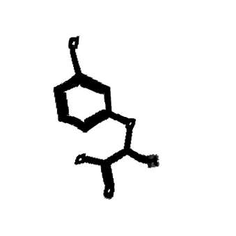 CCC(Oc1cccc(Cl)c1)C(=O)Cl